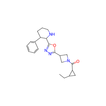 CCC1CC1C(=O)N1CC(c2nnc(C3NCCCC3c3ccccc3)o2)C1